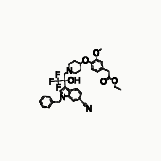 CCOC(=O)Cc1ccc(OC2CCN(CC(O)(c3cn(Cc4ccccc4)c4cc(C#N)ccc34)C(F)(F)F)CC2)c(OC)c1